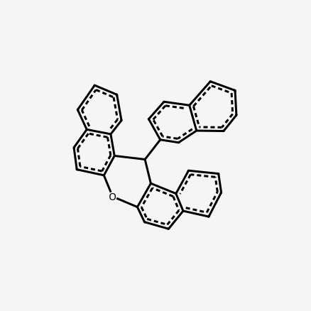 c1ccc2cc(C3c4c(ccc5ccccc45)Oc4ccc5ccccc5c43)ccc2c1